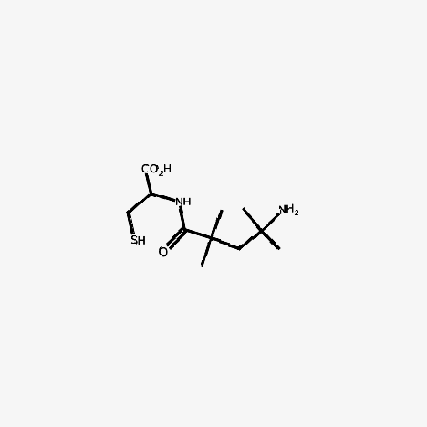 CC(C)(N)CC(C)(C)C(=O)NC(CS)C(=O)O